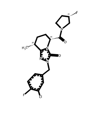 C[C@@H]1CC[C@H](C(=O)N2CC[C@H](F)C2)n2c1nn(Cc1ccc(F)c(Cl)c1)c2=O